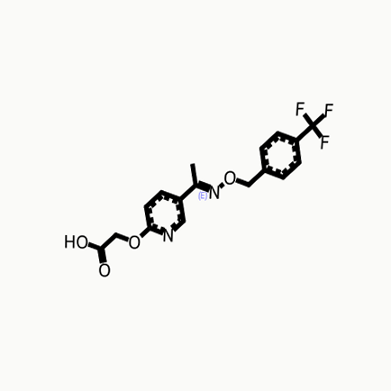 C/C(=N\OCc1ccc(C(F)(F)F)cc1)c1ccc(OCC(=O)O)nc1